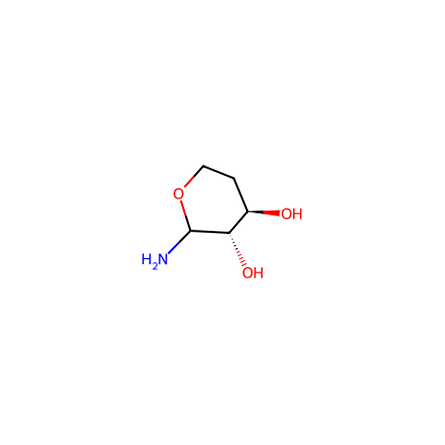 NC1OCC[C@@H](O)[C@@H]1O